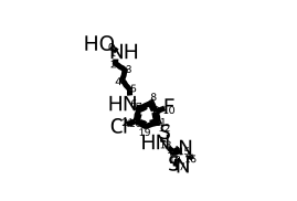 ONCCCCNc1cc(F)c(SNc2ncns2)cc1Cl